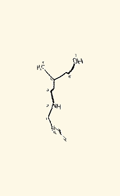 BCNCC(C)CO